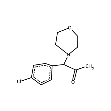 CC(=O)C(c1ccc(Cl)cc1)N1CCOCC1